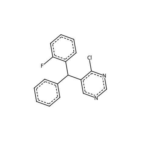 Fc1ccccc1C(c1ccccc1)c1cncnc1Cl